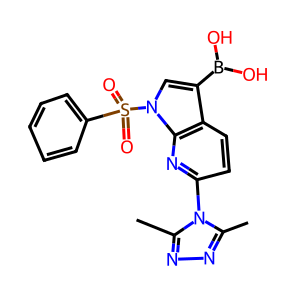 Cc1nnc(C)n1-c1ccc2c(B(O)O)cn(S(=O)(=O)c3ccccc3)c2n1